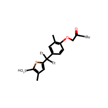 CCC(CC)(c1ccc(OCC(=O)C(C)(C)C)c(C)c1)c1cc(C)c(S(=O)(=O)O)s1